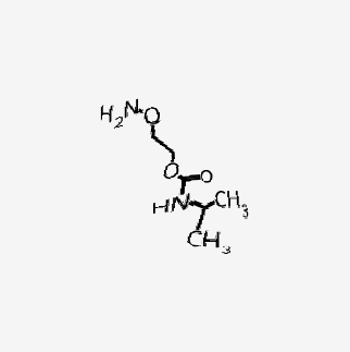 CC(C)NC(=O)OCCON